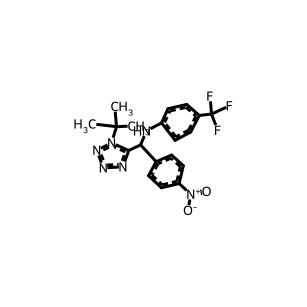 CC(C)(C)n1nnnc1C(Nc1ccc(C(F)(F)F)cc1)c1ccc([N+](=O)[O-])cc1